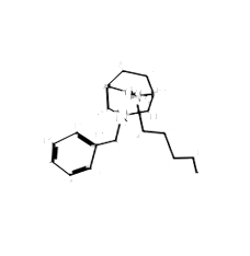 CCCCCN1CC2CCC1CN(Cc1ccccc1)C2